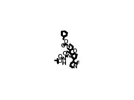 CC(C)(C)OC(=O)NC1=NC2(CO1)c1cc(-c3cccnc3F)ccc1OC1CCN(C(=O)OCc3ccccc3)CC12